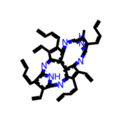 C=C/C=C\C1=C(C=C)c2nc3[nH]c(nc4c5c(nc6[nH]c(nc1c25)c(C)c6/C=C\C=C)C(C=C)=C4/C=C\C=C)c(C=C)c3/C=C\C=C